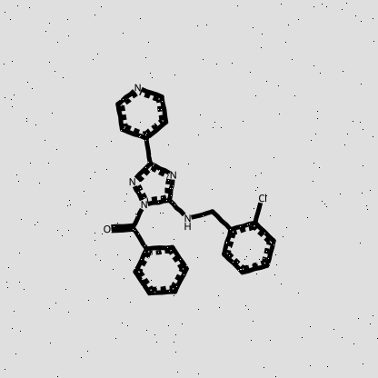 O=C(c1ccccc1)n1nc(-c2ccncc2)nc1NCc1ccccc1Cl